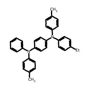 CCc1ccc(N(c2ccc(C)cc2)c2ccc(N(c3ccccc3)c3ccc(C)cc3)cc2)cc1